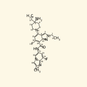 CCn1cc2c(N3CCC(N)(CC)CC3)cc(F)c(C(=O)Nc3cc(F)c4nc(C)cn4c3)c2n1